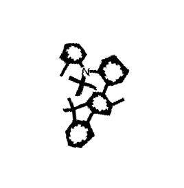 Cc1cc2c(cc1-c1ccccc1N(c1ccccc1C)C(C)(C)C)C(C)(C)c1ccccc1-2